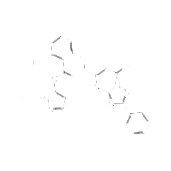 Cc1cccc(OCc2cc(=O)n3nc(-c4ccccc4)nc3[nH]2)c1C(=O)Nc1ccnn1C